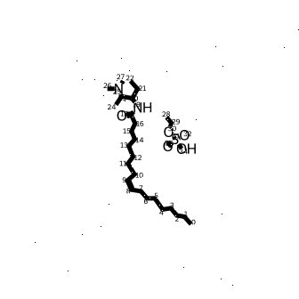 CCCCCCCC/C=C\CCCCCCCC(=O)NC(CC)C(C)N(C)C.CCOS(=O)(=O)O